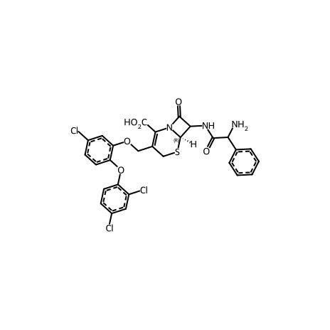 NC(C(=O)NC1C(=O)N2C(C(=O)O)=C(COc3cc(Cl)ccc3Oc3ccc(Cl)cc3Cl)CS[C@H]12)c1ccccc1